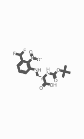 CC(C)(C)OC(=O)N[C@@H](CNc1cccc(C(F)F)c1[N+](=O)[O-])C(=O)O